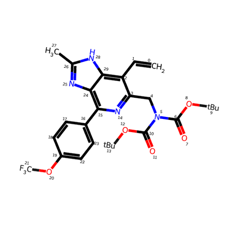 C=Cc1c(CN(C(=O)OC(C)(C)C)C(=O)OC(C)(C)C)nc(-c2ccc(OC(F)(F)F)cc2)c2nc(C)[nH]c12